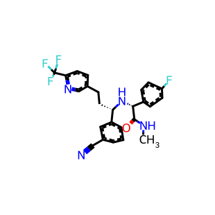 CNC(=O)[C@H](N[C@@H](CCc1ccc(C(F)(F)F)nc1)c1cccc(C#N)c1)c1ccc(F)cc1